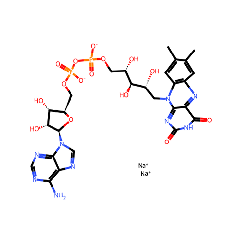 Cc1cc2nc3c(=O)[nH]c(=O)nc-3n(C[C@@H](O)[C@@H](O)[C@@H](O)COP(=O)([O-])OP(=O)([O-])OC[C@H]3O[C@@H](n4cnc5c(N)ncnc54)[C@H](O)[C@@H]3O)c2cc1C.[Na+].[Na+]